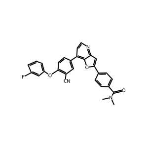 CN(C)C(=O)c1ccc(-c2cc3nccc(-c4ccc(Oc5cccc(F)c5)c(C#N)c4)c3o2)cc1